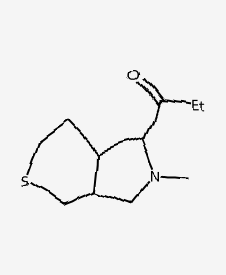 CCC(=O)C1C2CCSCC2CN1C